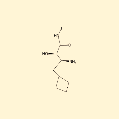 N[C@@H](CC1CCC1)[C@@H](O)C(=O)NI